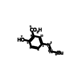 CCC(C)/N=N/c1ccc(O)c(C(=O)O)c1